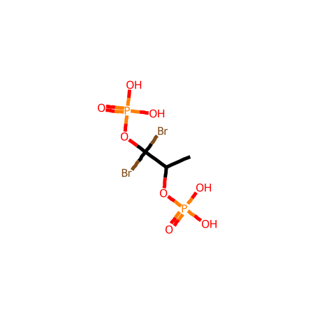 CC(OP(=O)(O)O)C(Br)(Br)OP(=O)(O)O